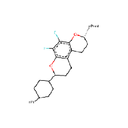 CCCCC[C@@H]1CCc2c3c(c(F)c(F)c2O1)OC(C1CCC(CCC)CC1)CC3